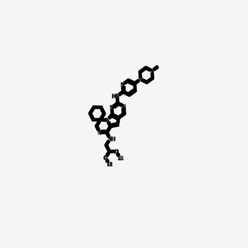 CCOC(CNC1=NCC2(CCCCC2)n2c1cc1cnc(Nc3ccc(N4CCN(C)CC4)cn3)nc12)OCC